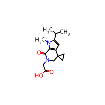 CC(C)c1cc2c(n1C)C(=O)N(CC(=O)O)CC21CC1